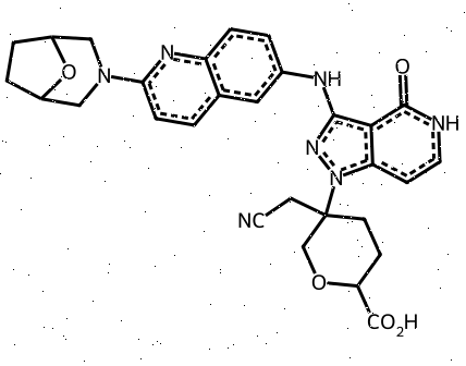 N#CCC1(n2nc(Nc3ccc4nc(N5CC6CCC(C5)O6)ccc4c3)c3c(=O)[nH]ccc32)CCC(C(=O)O)OC1